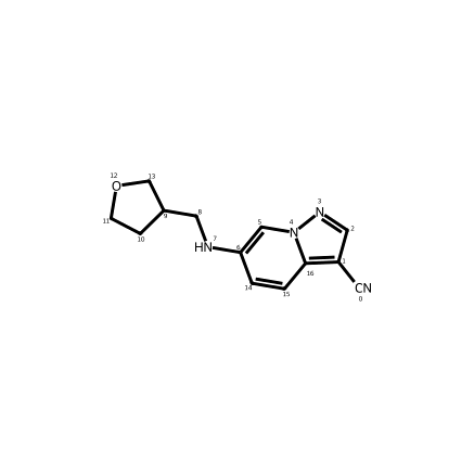 N#Cc1cnn2cc(NCC3CCOC3)ccc12